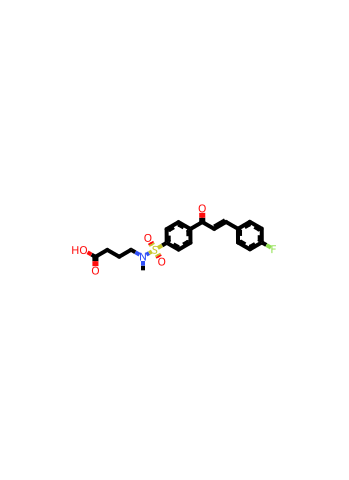 CN(CCCC(=O)O)S(=O)(=O)c1ccc(C(=O)/C=C/c2ccc(F)cc2)cc1